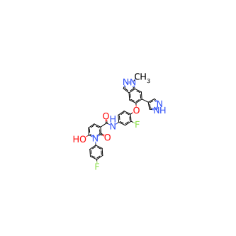 Cn1ncc2cc(Oc3ccc(NC(=O)c4ccc(O)n(-c5ccc(F)cc5)c4=O)cc3F)c(-c3cn[nH]c3)cc21